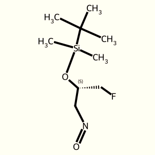 CC(C)(C)[Si](C)(C)O[C@H](CF)CN=O